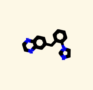 c1ccc(-n2ccnc2)c(Cc2ccc3nccnc3c2)c1